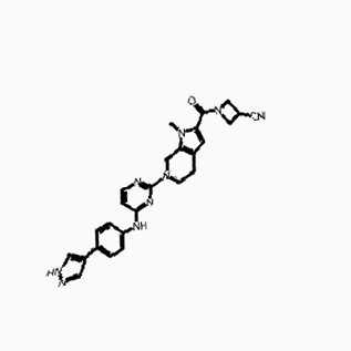 Cn1c(C(=O)N2CC(C#N)C2)cc2c1CN(c1nccc(Nc3ccc(-c4cn[nH]c4)cc3)n1)CC2